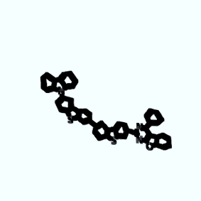 C1=CC2Oc3nc(-c4ccc5c(c4)sc4ccc(-c6ccc7c(c6)sc6ccc(-n8c9ccccc9c9ccccc98)cc67)cc45)nc(-c4ccccc4)c3C2C=C1